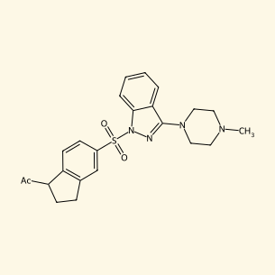 CC(=O)C1CCc2cc(S(=O)(=O)n3nc(N4CCN(C)CC4)c4ccccc43)ccc21